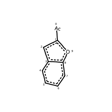 CC(=O)c1cc2ccc[c]c2o1